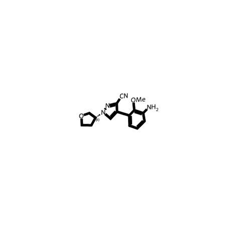 COc1c(N)cccc1-c1cn([C@@H]2CCOC2)nc1C#N